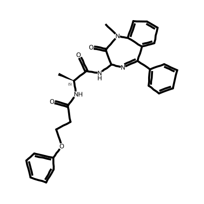 C[C@H](NC(=O)CCOc1ccccc1)C(=O)NC1N=C(c2ccccc2)c2ccccc2N(C)C1=O